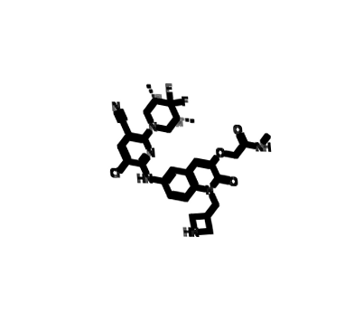 CNC(=O)COc1cc2cc(Nc3nc(N4C[C@@H](C)C(F)(F)[C@@H](C)C4)c(C#N)cc3Cl)ccc2n(CC2CNC2)c1=O